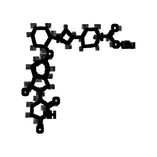 CC(C)(C)OC(=O)N1CCC(C2CN([C@@H]3CCCC[C@@H]3Oc3ccc4c(c3)CN(C3CCC(=O)NC3=O)C4=O)C2)CC1